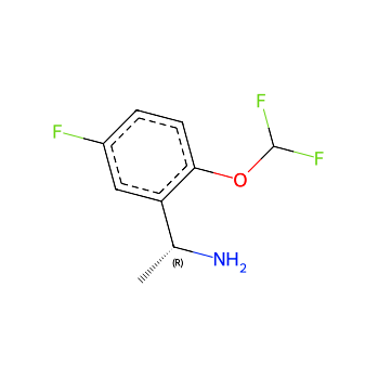 C[C@@H](N)c1cc(F)ccc1OC(F)F